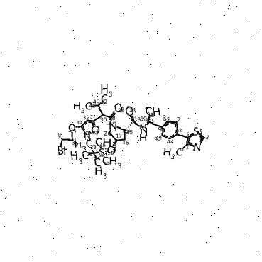 Cc1ncsc1-c1ccc([C@H](C)NC(=O)[C@@H]2CC(O[Si](C)(C)C(C)(C)C)CN2C(=O)C(c2cc(OCCBr)no2)C(C)C)cc1